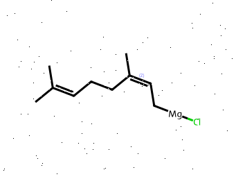 CC(C)=CCC/C(C)=C\[CH2][Mg][Cl]